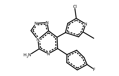 Cc1cc(-c2c(-c3ccc(F)cc3)nc(N)n3cnnc23)cc(Cl)n1